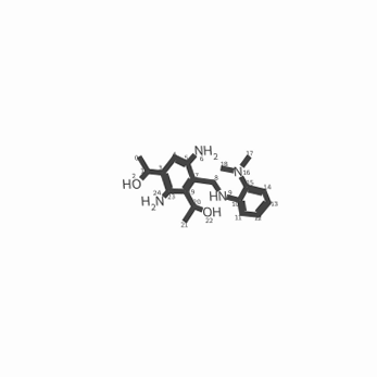 CC(O)c1cc(N)c(CNc2ccccc2N(C)C)c(C(C)O)c1N